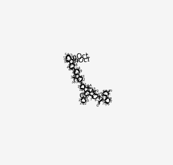 C/C=C(\C)N(c1ccc2c(c1)C(C)(C)c1c3c(c4oc5ccccc5c4c1-2)-c1ccc(-c2ccc4c(c2)C(C)(C)c2cc(-c5ccc6c(c5)C(CCCCCCCC)(CCCCCCCC)c5ccccc5-6)ccc2-4)cc1C3(C)C)c1ccc(C)cc1-c1ccccc1